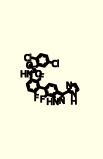 O=S(=O)(Nc1ccc(F)c(-c2ccc3c(-c4ncc[nH]4)n[nH]c3c2F)c1F)c1cc(Cl)ccc1Cl